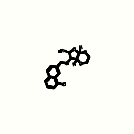 CCC[C@H]1O[C@@H]2OCCO[C@@H]2[C@H]1OCc1ccc2cccc(Cl)c2c1